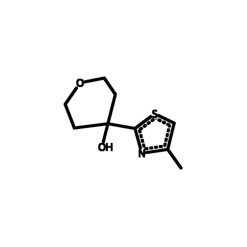 Cc1csc(C2(O)CCOCC2)n1